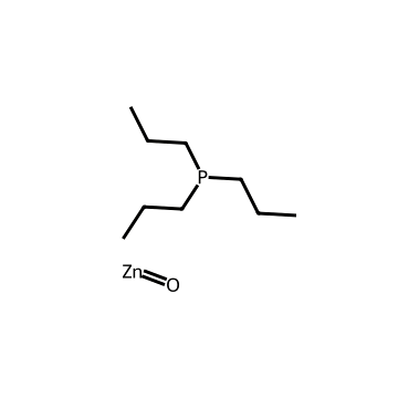 CCCP(CCC)CCC.[O]=[Zn]